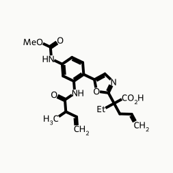 C=CCC(CC)(C(=O)O)c1ncc(-c2ccc(NC(=O)OC)cc2NC(=O)C(C)C=C)o1